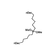 CCCCCCCCCCCCCCC[Si](CCCCCCCCCCCCCCC)(OC)OC